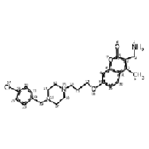 Cc1c(CN)c(=O)oc2cc(OCCCN3CCN(Cc4ccc(Cl)cc4)CC3)ccc12